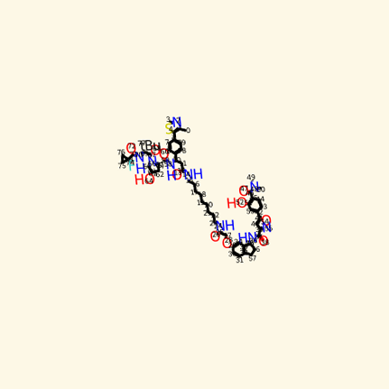 Cc1ncsc1-c1ccc(C(CC(=O)NCCCCCCCCCNC(=O)COc2ccc3c(c2)[C@H](NC(=O)c2cc(-c4ccc(C(=O)N(C)C)c(O)c4)on2)CC3)NC(=O)[C@@H]2C[C@@H](O)CN2C(=O)C(NC(=O)C2(F)CC2)C(C)(C)C)cc1